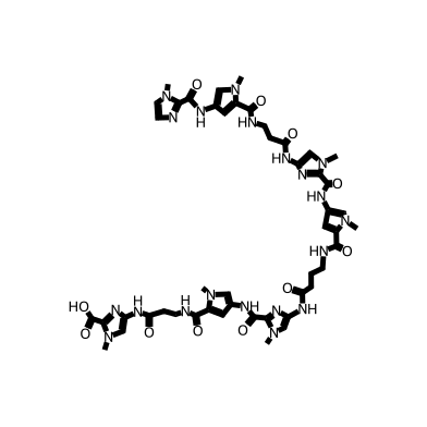 Cn1cc(NC(=O)c2nc(NC(=O)CCNC(=O)c3cc(NC(=O)c4nccn4C)cn3C)cn2C)cc1C(=O)NCCCC(=O)Nc1cn(C)c(C(=O)Nc2cc(C(=O)NCCC(=O)Nc3cn(C)c(C(=O)O)n3)n(C)c2)n1